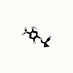 N#CC1(COc2cc(N)c([N+](=O)[O-])cc2Cl)CC1